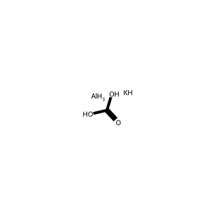 O=C(O)O.[AlH3].[KH]